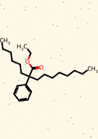 CCCCCCCCC(CCCCCC)(C(=O)OCC)c1ccccc1